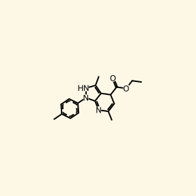 CCOC(=O)C1C=C(C)N=C2C1=C(C)NN2c1ccc(C)cc1